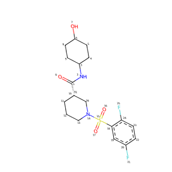 O=C(NC1CCC(O)CC1)[C@H]1CCCN(S(=O)(=O)c2cc(F)ccc2F)C1